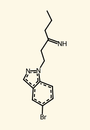 CCCC(=N)CCn1ncc2cc(Br)ccc21